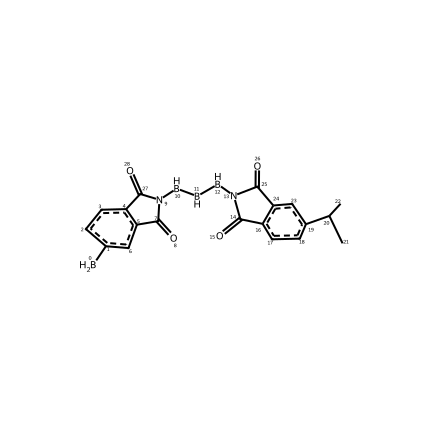 Bc1ccc2c(c1)C(=O)N(BBBN1C(=O)c3ccc(C(C)C)cc3C1=O)C2=O